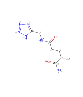 C[C@@H](C[CH]C(=O)NCc1nnn[nH]1)C(N)=O